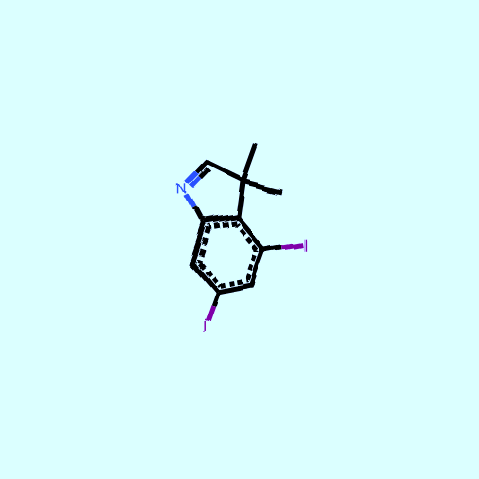 CC1(C)C=Nc2cc(I)cc(I)c21